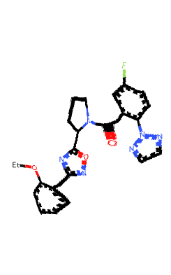 CCOc1ccccc1-c1noc(C2CCCN2C(=O)c2cc(F)ccc2-n2nccn2)n1